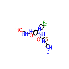 O=C(Nc1cc2oc(NCCO)nc2cc1N1CCC(F)(F)CC1)c1csc(-c2cn[nH]c2)n1